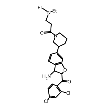 CCN(CC)CCC(=O)N1CCCC(c2ccc3c(c2)OC(C(=O)c2ccc(Cl)cc2Cl)C3N)C1